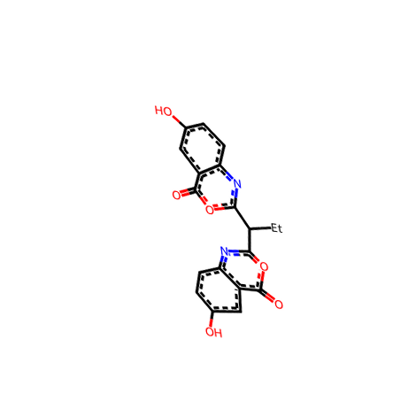 CCC(c1nc2ccc(O)cc2c(=O)o1)c1nc2ccc(O)cc2c(=O)o1